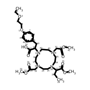 CCOCCOc1ccc(CC(C(=O)O)N2CCN(CC(=O)OC)CCN(C(CC)C(=O)OC)CCN(CC(=O)OC)CC2)cc1